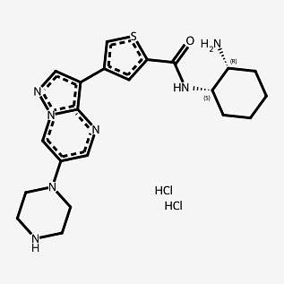 Cl.Cl.N[C@@H]1CCCC[C@@H]1NC(=O)c1cc(-c2cnn3cc(N4CCNCC4)cnc23)cs1